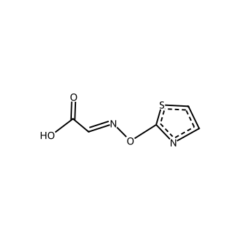 O=C(O)C=NOc1nccs1